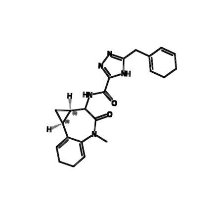 CN1C(=O)C(NC(=O)c2nnc(CC3=CCCC=C3)[nH]2)[C@@H]2C[C@@H]2C2=CCCC=C21